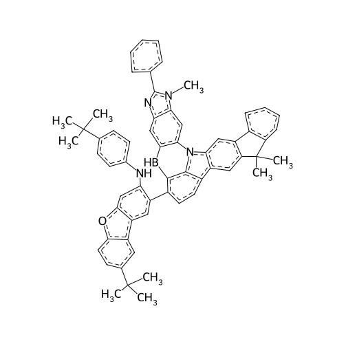 Cn1c(-c2ccccc2)nc2cc3c(cc21)-n1c2cc4c(cc2c2ccc(-c5cc6c(cc5Nc5ccc(C(C)(C)C)cc5)oc5ccc(C(C)(C)C)cc56)c(c21)B3)C(C)(C)c1ccccc1-4